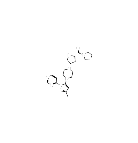 Cc1cc(N2CCN([C@@H]3CN[C@H](C(=O)N4CCSC4)C3)CC2)n(-c2ccncn2)n1